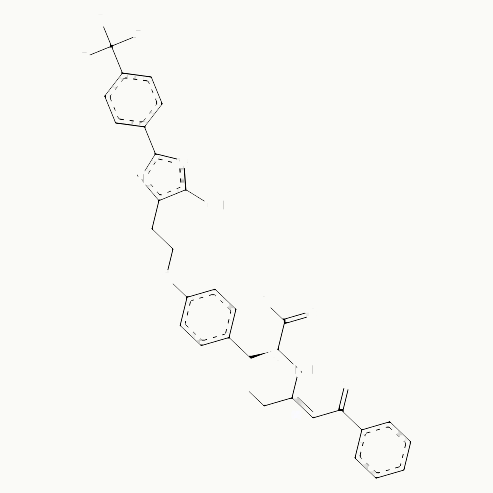 CC/C(=C/C(=O)c1ccccc1)N[C@@H](Cc1ccc(OCCc2nc(-c3ccc(C(F)(F)F)cc3)oc2C)cc1)C(=O)O